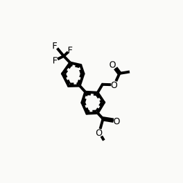 COC(=O)c1ccc(-c2ccc(C(F)(F)F)cc2)c(COC(C)=O)c1